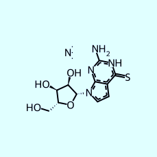 Nc1nc2c(ccn2[C@@H]2O[C@H](CO)[C@@H](O)[C@H]2O)c(=S)[nH]1.[N]